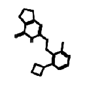 Cc1nccc(C2CCC2)c1CSc1nc2c(c(=O)[nH]1)CCC2